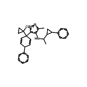 Cc1noc(C2(C3(C(=O)O)CC3)C=CC(c3ccccc3)C=C2)c1NC(C)C1CC1c1ccccc1